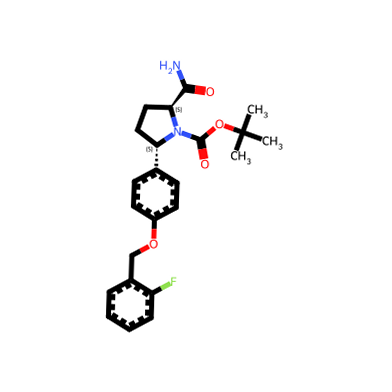 CC(C)(C)OC(=O)N1[C@H](C(N)=O)CC[C@H]1c1ccc(OCc2ccccc2F)cc1